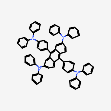 c1ccc(N(c2ccccc2)c2ccc(-c3c4ccc(N(c5ccccc5)c5ccccc5)cc4c(-c4ccc(N(c5ccccc5)c5ccccc5)cc4)c4cc(N(c5ccccc5)c5ccccc5)ccc34)cc2)cc1